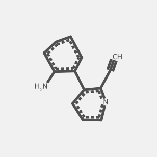 C#Cc1ncccc1-c1ccccc1N